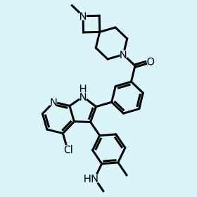 CNc1cc(-c2c(-c3cccc(C(=O)N4CCC5(CC4)CN(C)C5)c3)[nH]c3nccc(Cl)c23)ccc1C